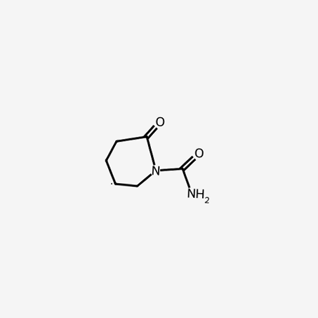 NC(=O)N1C[CH]CCC1=O